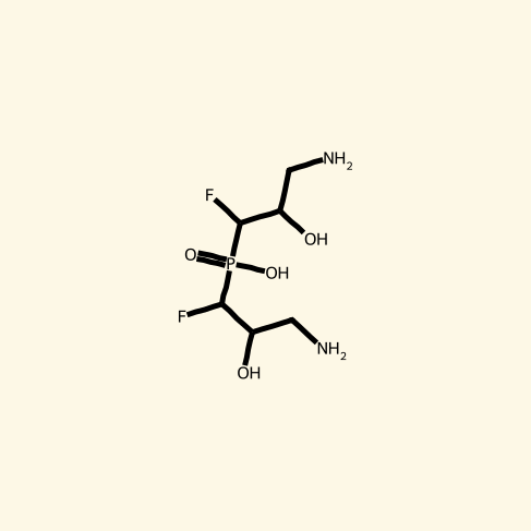 NCC(O)C(F)P(=O)(O)C(F)C(O)CN